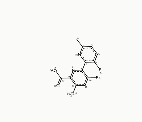 Cc1ccc(F)c(-c2nc(C(=O)O)c(N)cc2F)n1